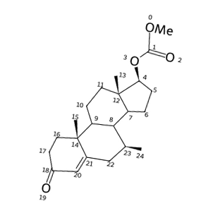 COC(=O)O[C@H]1CCC2C3C(CC[C@@]21C)[C@@]1(C)CCC(=O)C=C1C[C@@H]3C